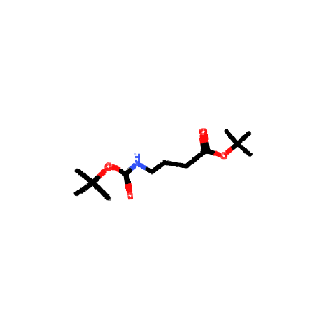 CC(C)(C)OC(=O)CC[CH]NC(=O)OC(C)(C)C